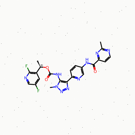 Cc1nccc(C(=O)Nc2ccc(-c3nnn(C)c3NC(=O)O[C@H](C)c3cc(F)cnc3F)nc2)n1